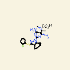 CC(c1c(N)nc(-n2nc(Sc3ccccc3F)c3ccccc32)nc1N)N(C)C(=O)O